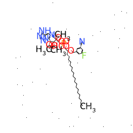 CCCCCCCCCCCCCCCCCCCC[C@@H](COP(=O)(O)OC[C@@](C#N)(OC)[C@H]1OC(C)(C)O[C@H]1c1ccc2c(N)ncnn12)OCc1cc(F)cc(C#N)c1